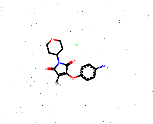 CC1=C(Oc2ccc(N)cc2)C(=O)N(C2CCOCC2)C1=O.Cl